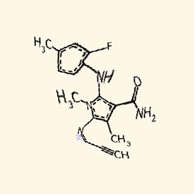 C#C/C=N\c1c(C)c(C(N)=O)c(Nc2ccc(C)cc2F)n1C